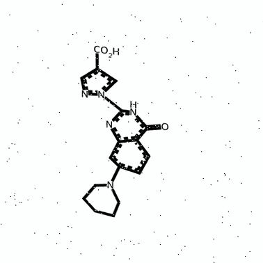 O=C(O)c1cnn(-c2nc3cc(N4CCCCC4)ccc3c(=O)[nH]2)c1